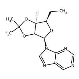 CC[C@H]1O[C@@H](n2cnc3cncnc32)C2OC(C)(C)O[C@H]21